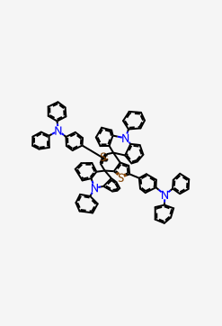 c1ccc(N(c2ccccc2)c2ccc(-c3cc4c(s3)C3(c5ccccc5N(c5ccccc5)c5ccccc53)c3cc(-c5ccc(N(c6ccccc6)c6ccccc6)cc5)sc3C43c4ccccc4N(c4ccccc4)c4ccccc43)cc2)cc1